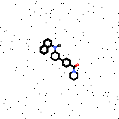 CCN(c1cccc2ccccc12)C1CCCC(c2ccc(C(=O)N3CCCCC3)cc2)C1